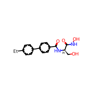 CCc1ccc(-c2ccc(C(=O)N[C@H](CO)C(=O)NO)cc2)cc1